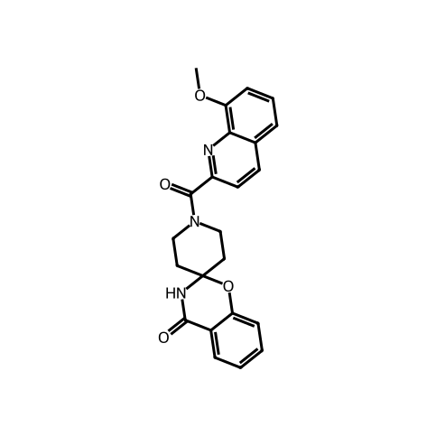 COc1cccc2ccc(C(=O)N3CCC4(CC3)NC(=O)c3ccccc3O4)nc12